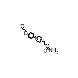 COCCOc1ccc(N2CCN(CCOC(N)=O)CC2)cc1